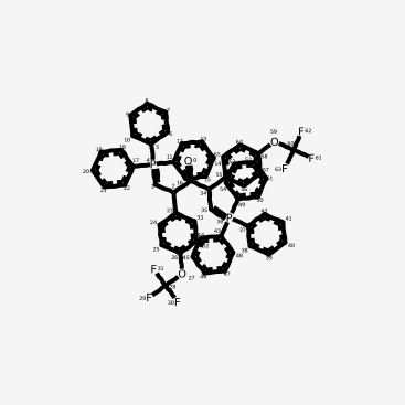 O=C(C(C=P(c1ccccc1)(c1ccccc1)c1ccccc1)c1ccc(OC(F)(F)F)cc1)C(C=P(c1ccccc1)(c1ccccc1)c1ccccc1)c1ccc(OC(F)(F)F)cc1